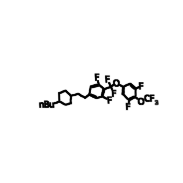 CCCCC1CCC(CCc2cc(F)c(C(F)(F)Oc3cc(F)c(OC(F)(F)F)c(F)c3)c(F)c2)CC1